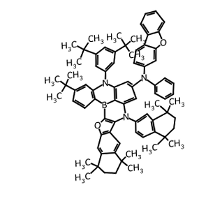 CC(C)(C)c1cc(N2c3cc(C(C)(C)C)ccc3B3c4oc5cc6c(cc5c4N(c4ccc5c(c4)C(C)(C)CCC5(C)C)c4cc(N(c5ccccc5)c5ccc7c(c5)oc5ccccc57)cc2c43)C(C)(C)CCC6(C)C)cc(C(C)(C)C)c1